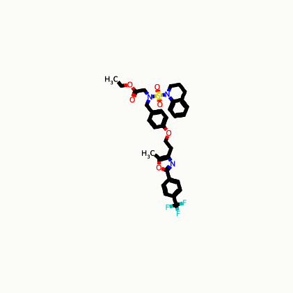 CCOC(=O)CN(Cc1ccc(OCCc2nc(-c3ccc(C(F)(F)F)cc3)oc2C)cc1)S(=O)(=O)N1CCCc2ccccc21